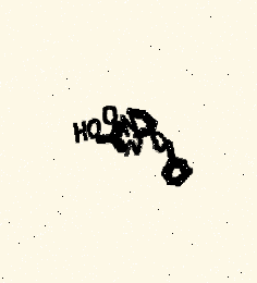 O=c1c(CO)cnc2c(OCc3ccccc3)cccn12